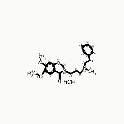 COc1cc2c(cc1OC)C(=O)N(CCCN(C)CCc1ccccc1)CO2.Cl